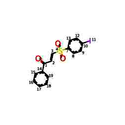 O=C(/C=C/S(=O)(=O)c1ccc(I)cc1)c1ccccc1